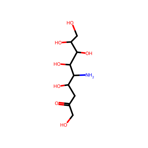 NC(C(O)CC(=O)CO)C(O)C(O)C(O)CO